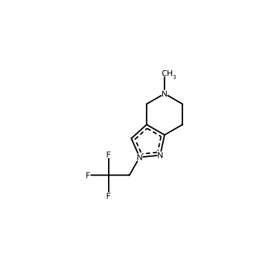 CN1CCc2nn(CC(F)(F)F)cc2C1